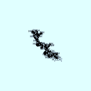 CC(C)C[C@H](NC(=O)[C@H](C)NC(=O)[C@@H](NC(=O)[C@H](C)NC(=O)[C@H](CO)NC(=O)[C@H](CC(=O)O)NC(=O)[C@@H](N)C(C)C)[C@@H](C)O)C(=O)N[C@@H](Cc1ccc(O)cc1)C(=O)N[C@@H](CCCNC(=N)N)C(=O)N[C@H](C(=O)N[C@@H](CC(=O)O)C(=O)N[C@@H](Cc1ccc(O)cc1)C(=O)N[C@@H](CO)C(=O)NCC(=O)N[C@@H](CCCNC(=N)N)C(=O)NCC(=O)N[C@@H](CCC(=O)O)C(=O)N[C@@H](CC(C)C)C(=O)N[C@@H](CO)C(=O)N[C@@H](C)C(=O)O)[C@@H](C)O